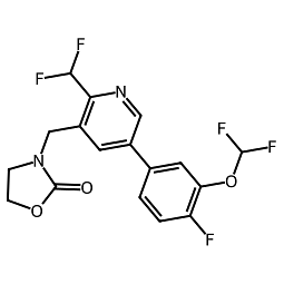 O=C1OCCN1Cc1cc(-c2ccc(F)c(OC(F)F)c2)cnc1C(F)F